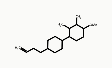 C=CCCC1CCC(C2CCC(OC)C(C)C2C)CC1